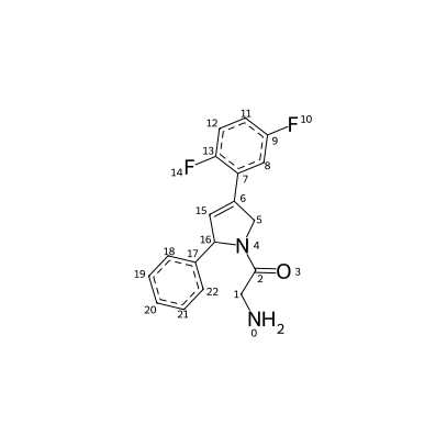 NCC(=O)N1CC(c2cc(F)ccc2F)=CC1c1ccccc1